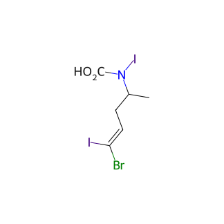 CC(CC=C(Br)I)N(I)C(=O)O